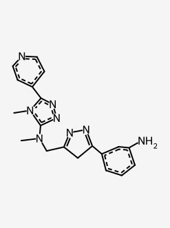 CN(CC1=NN=C(c2cccc(N)c2)C1)c1nnc(-c2ccncc2)n1C